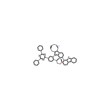 C1#CCc2c(c3ccc(-c4cccc5c4sc4ccccc45)cc3n2-c2cc(-c3nc(-c4ccccc4)nc(-c4ccccc4)n3)ccc2C2=CC=CCC2)/C=C\C1